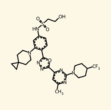 Cc1cc(-c2nnc(-c3ccc(NS(=O)(=O)CCO)cc3N3CCC4(CC3)CC4)o2)nc(N2CCC(C(F)(F)F)CC2)n1